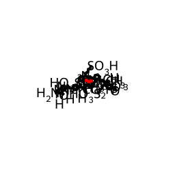 [2H]c1c([2H])c(OC2=C(/C=C/C3=[N+](CCCCS(=O)(=O)O)c4ccc([SH](=O)=O)cc4C3(C)C)CCC/C2=C\C=C2\N(CCCCS(=O)(=O)O)c3ccc(S(=O)(=O)O)cc3C2(C)C)c([2H])c([2H])c1C[C@H](NC(=O)c1ccc(NCc2cnc3nc(N)[nH]c(=O)c3n2)cc1)C(=O)O